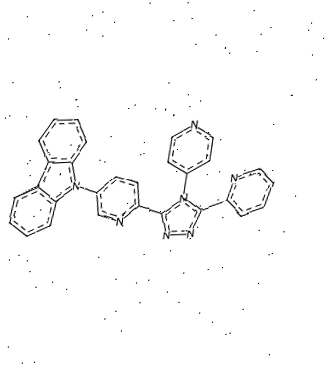 c1ccc(-c2nnc(-c3ccc(-n4c5ccccc5c5ccccc54)cn3)n2-c2ccncc2)nc1